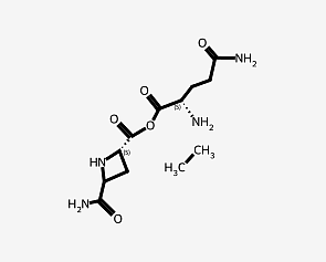 CC.NC(=O)CC[C@H](N)C(=O)OC(=O)[C@@H]1CC(C(N)=O)N1